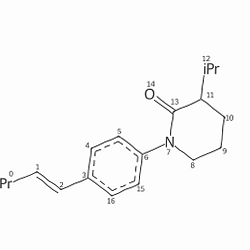 CC(C)/C=C/c1ccc(N2CCCC(C(C)C)C2=O)cc1